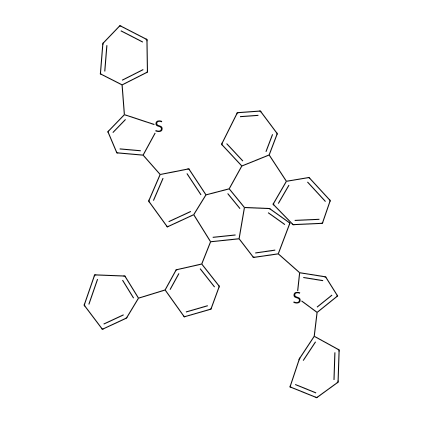 c1ccc(-c2cccc(-c3c4cc(-c5ccc(-c6ccccc6)s5)ccc4c(-c4ccccc4-c4ccccc4)c4cc(-c5ccc(-c6ccccc6)s5)ccc34)c2)cc1